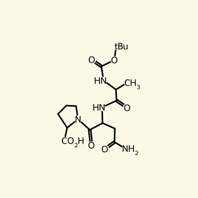 CC(NC(=O)OC(C)(C)C)C(=O)NC(CC(N)=O)C(=O)N1CCCC1C(=O)O